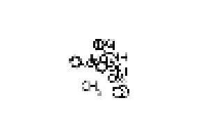 CC(Cc1ccc(OCc2ccccc2)cc1)(NC(=O)OC12CCCC(CCC1)C2)C(=O)NC(CO)C(O)c1ccccc1.[CH2]